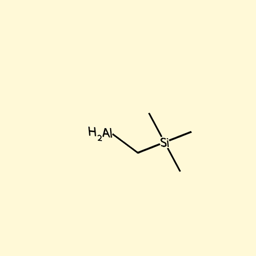 C[Si](C)(C)[CH2][AlH2]